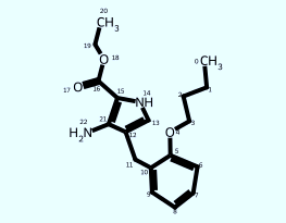 CCCCOc1ccccc1Cc1c[nH]c(C(=O)OCC)c1N